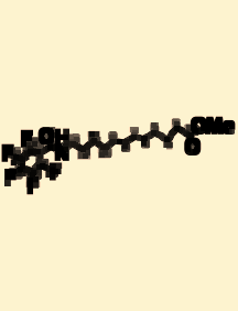 COC(=O)CCCCCCCCCCCNC(=O)c1c(F)c(F)c(F)c(F)c1F